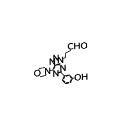 O=CCCCn1nnc2c(N3CCOCC3)nc(-c3cccc(O)c3)nc21